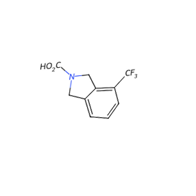 O=C(O)N1Cc2cccc(C(F)(F)F)c2C1